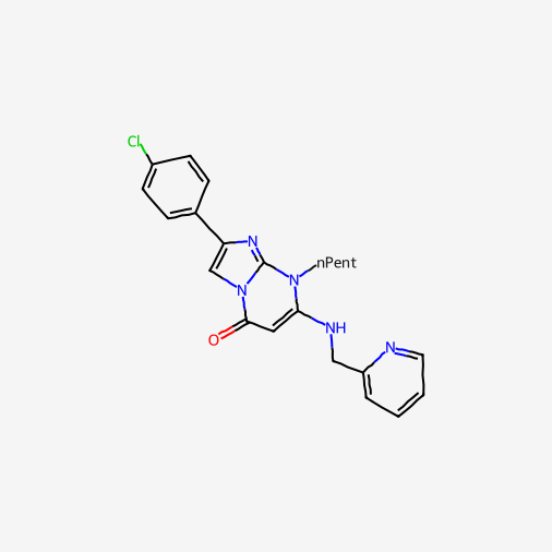 CCCCCn1c(NCc2ccccn2)cc(=O)n2cc(-c3ccc(Cl)cc3)nc12